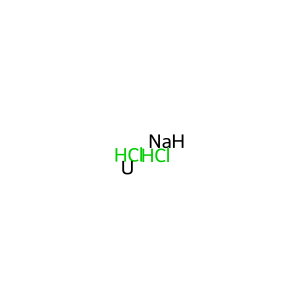 Cl.Cl.[NaH].[U]